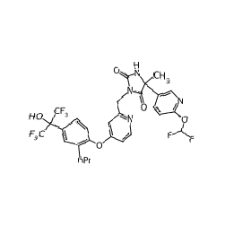 CCCc1cc(C(O)(C(F)(F)F)C(F)(F)F)ccc1Oc1ccnc(CN2C(=O)NC(C)(c3ccc(OC(F)F)nc3)C2=O)c1